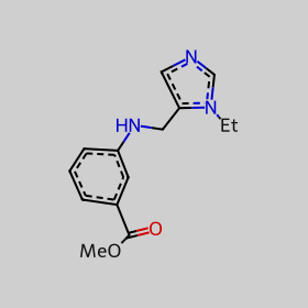 CCn1cncc1CNc1cccc(C(=O)OC)c1